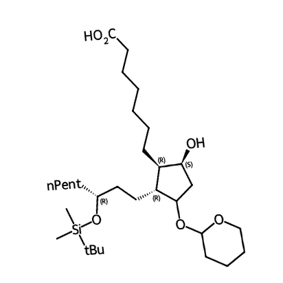 CCCCC[C@H](CC[C@H]1C(OC2CCCCO2)C[C@H](O)[C@@H]1CCCCCCC(=O)O)O[Si](C)(C)C(C)(C)C